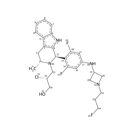 C[C@@H]1Cc2c([nH]c3ccccc23)[C@@H](c2c(F)cc(NC3CN(CCCF)C3)cc2F)N1C[C@@H](Cl)CO